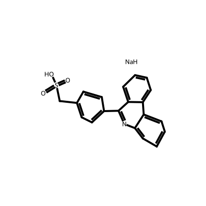 O=S(=O)(O)Cc1ccc(-c2nc3ccccc3c3ccccc23)cc1.[NaH]